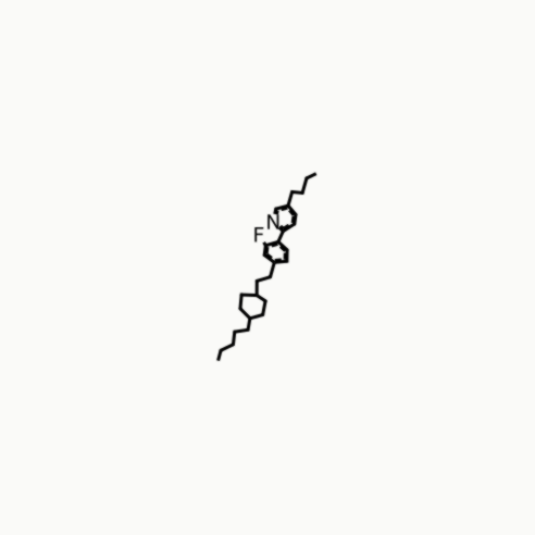 CCCCCC1CCC(CCc2ccc(-c3ccc(CCCC)cn3)c(F)c2)CC1